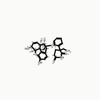 CCC1(c2ccccc2)CCC(=O)NC1=O.CN1CC[C@]23c4c5ccc(O)c4O[C@H]2[C@@H](O)C=C[C@H]3[C@H]1C5